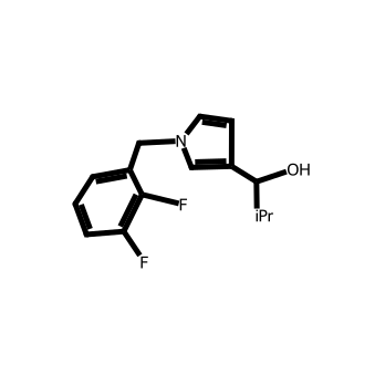 CC(C)C(O)c1ccn(Cc2cccc(F)c2F)c1